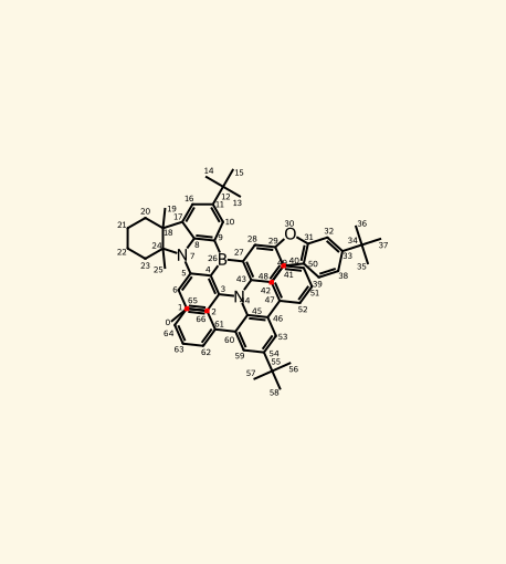 Cc1cc2c3c(c1)N1c4c(cc(C(C)(C)C)cc4C4(C)CCCCC14C)B3c1cc3oc4cc(C(C)(C)C)ccc4c3cc1N2c1c(-c2ccccc2)cc(C(C)(C)C)cc1-c1ccccc1